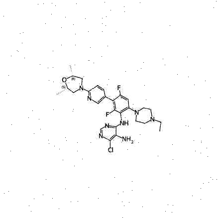 CCN1CCN(c2cc(F)c(-c3ccc(N4C[C@@H](C)O[C@@H](C)C4)nc3)c(F)c2Nc2ncnc(Cl)c2N)CC1